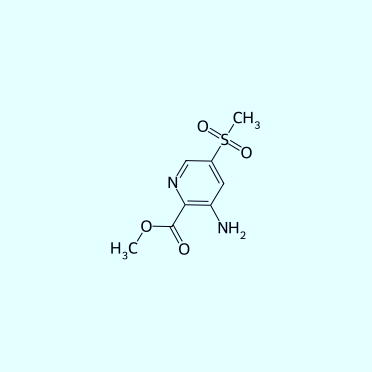 COC(=O)c1ncc(S(C)(=O)=O)cc1N